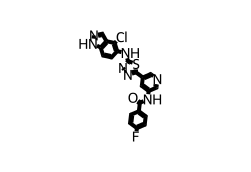 O=C(Nc1cncc(-c2nnc(Nc3ccc4[nH]ncc4c3Cl)s2)c1)c1ccc(F)cc1